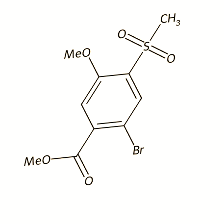 COC(=O)c1cc(OC)c(S(C)(=O)=O)cc1Br